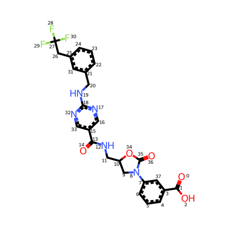 O=C(O)c1cccc(N2CC(CNC(=O)c3cnc(NCc4cccc(CC(F)(F)F)c4)nc3)OC2=O)c1